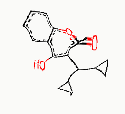 O=c1oc2ccccc2c(O)c1C(C1CC1)C1CC1